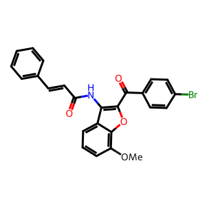 COc1cccc2c(NC(=O)C=Cc3ccccc3)c(C(=O)c3ccc(Br)cc3)oc12